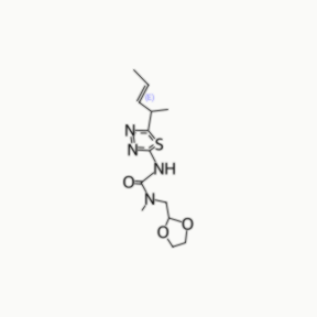 C/C=C/C(C)c1nnc(NC(=O)N(C)CC2OCCO2)s1